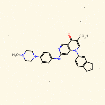 CN1CCN(c2ccc(Nc3cc4c(cn3)c(=O)c(C(=O)O)cn4-c3ccc4c(c3)CCC4)cc2)CC1